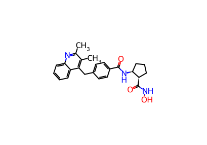 Cc1nc2ccccc2c(Cc2ccc(C(=O)N[C@H]3CCC[C@H]3C(=O)NO)cc2)c1C